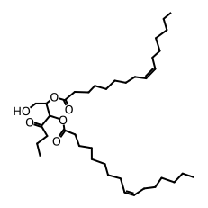 CCCCCC/C=C\CCCCCCCC(=O)OC(CO)C(OC(=O)CCCCCCC/C=C\CCCCCC)C(=O)CCC